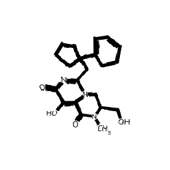 CN1C(=O)c2c(O)c(=O)nc(CC3(C4=CC=CCC4)CCCC3)n2CC1CO